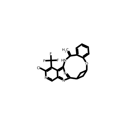 C=C1Nc2nc(nc3cnc(Cl)c(C(F)(F)F)c23)C2CC(C2)Oc2ccccc21